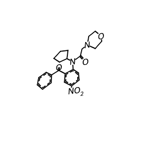 O=C(c1ccccc1)c1cc([N+](=O)[O-])ccc1N(C(=O)CN1CCOCC1)C1CCCC1